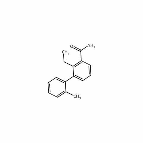 CCc1c(C(N)=O)cccc1-c1ccccc1C